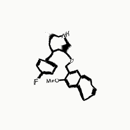 COc1cc2ccccc2cc1COC1CNCCC1c1ccc(F)cc1